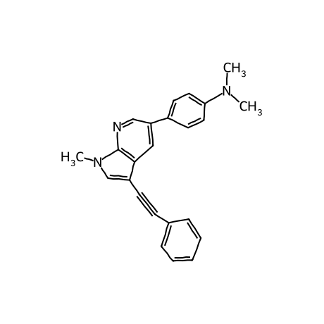 CN(C)c1ccc(-c2cnc3c(c2)c(C#Cc2ccccc2)cn3C)cc1